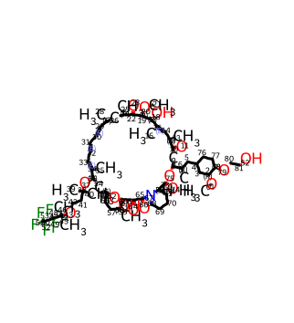 CO[C@@H]1CC(C[C@@H](C)C2CC(=O)[C@H](C)/C=C(\C)[C@@H](O)[C@@H](OC)C(=O)[C@H](C)C[C@H](C)/C=C/C=C/C=C(\C)[C@H](OC(C)(C)CCOC(C)(C)C(F)(F)C(F)(F)F)C[C@@H]3CC[C@@H](C)[C@@](O)(O3)C(=O)C(=O)N3CCCC[C@H]3C(=O)O2)CC[C@H]1OCCO